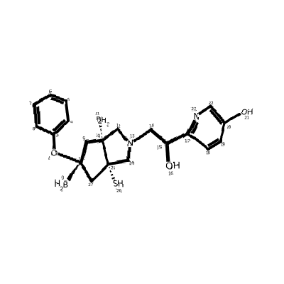 B[C@@]1(Oc2ccccc2)C[C@@]2(B)CN(CC(O)c3ccc(O)cn3)C[C@@]2(S)C1